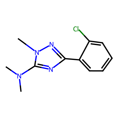 CN(C)c1nc(-c2ccccc2Cl)nn1C